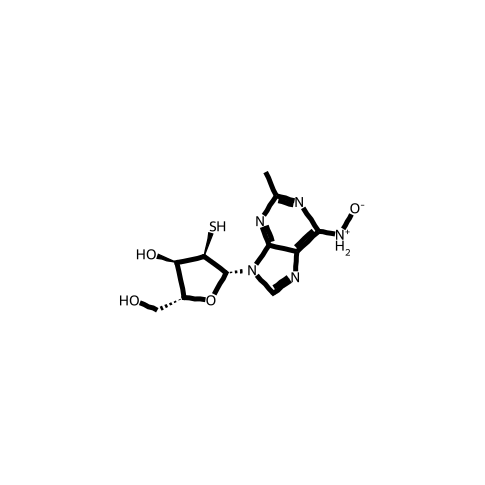 Cc1nc([NH2+][O-])c2ncn([C@@H]3O[C@H](CO)[C@@H](O)[C@H]3S)c2n1